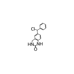 O=C1NCc2cc(C(Cl)c3ccccc3)ccc2N1